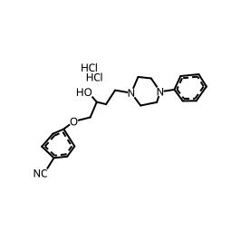 Cl.Cl.N#Cc1ccc(OCC(O)CCN2CCN(c3ccccc3)CC2)cc1